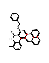 CCC(Pc1c(C)cccc1CN(Cc1ccccc1)Cc1ccccc1)c1cc(C)ccc1OCc1ccccc1